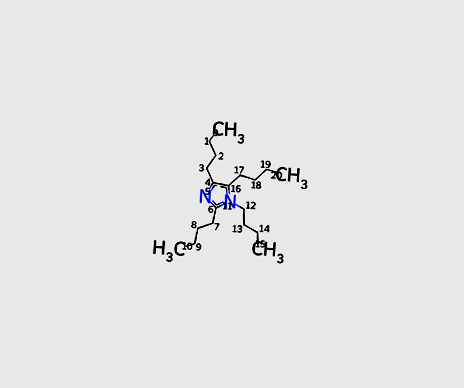 CCCCc1nc(CCCC)n(CCCC)c1CCCC